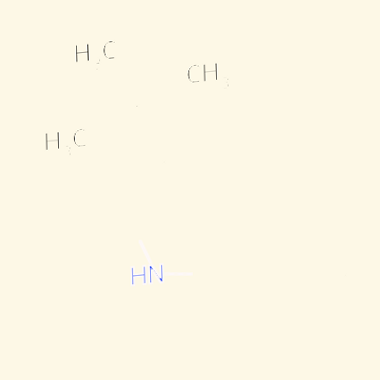 CC(C)(C)C1CNc2ccccc2C1